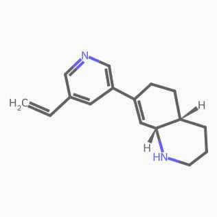 C=Cc1cncc(C2=C[C@H]3NCCC[C@H]3CC2)c1